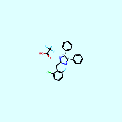 Fc1cccc(Cl)c1CC1=N[C@H](c2ccccc2)[C@H](c2ccccc2)N1.O=C(O)C(F)(F)F